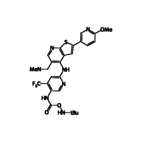 CNCc1cnc2sc(-c3ccc(OC)nc3)cc2c1Nc1cc(C(F)(F)F)c(NC(=O)ONC(C)(C)C)cn1